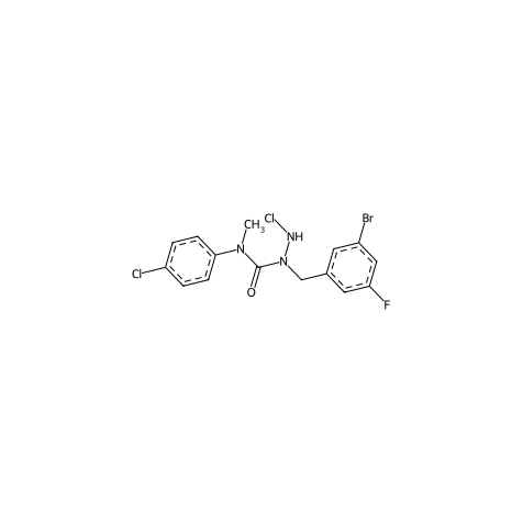 CN(C(=O)N(Cc1cc(F)cc(Br)c1)NCl)c1ccc(Cl)cc1